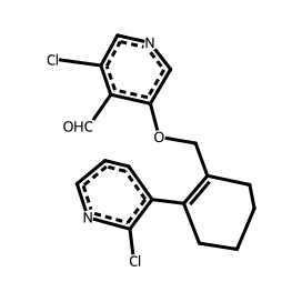 O=Cc1c(Cl)cncc1OCC1=C(c2cccnc2Cl)CCCC1